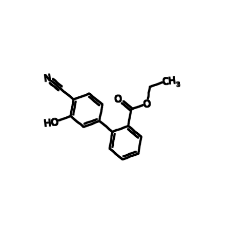 CCOC(=O)c1ccccc1-c1ccc(C#N)c(O)c1